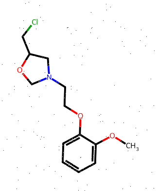 COc1ccccc1OCCN1COC(CCl)C1